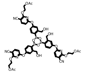 CC(=O)OCCOc1nc(Oc2ccc(B3OB(c4ccc(Oc5ccc(C#N)c(OCCOC(C)=O)n5)cc4CO)OB(c4ccc(Oc5ccc(C#N)c(OCCOC(C)=O)n5)cc4CO)O3)c(CO)c2)ccc1C#N